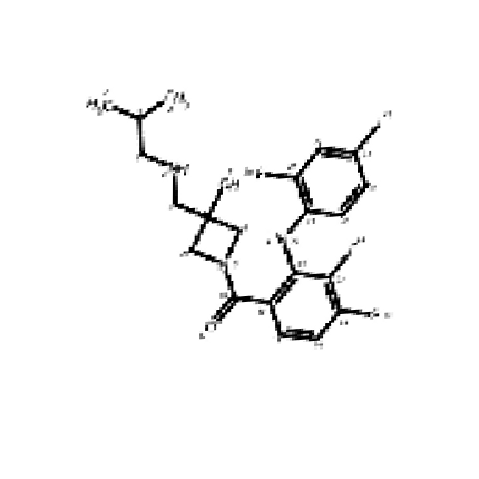 CC(C)CNCC1(O)CN(C(=O)c2ccc(F)c(F)c2Nc2ccc(I)cc2F)C1